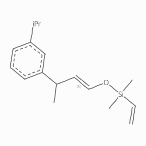 C=C[Si](C)(C)O/C=C/C(C)c1cccc(C(C)C)c1